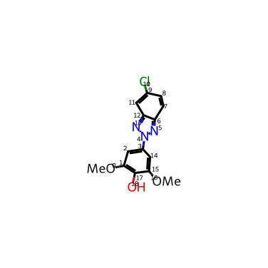 COc1cc(-n2nc3ccc(Cl)cc3n2)cc(OC)c1O